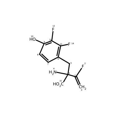 C=C(F)C(N)(Cc1ccc(O)c(F)c1F)C(=O)O